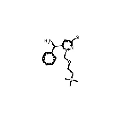 C[Si](C)(C)CCOCn1nc(Br)cc1C(N)c1ccccc1